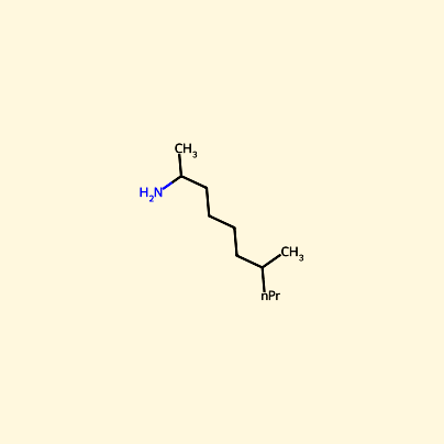 CCCC(C)CCCCC(C)N